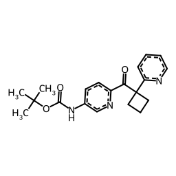 CC(C)(C)OC(=O)Nc1ccc(C(=O)C2(c3ccccn3)CCC2)nc1